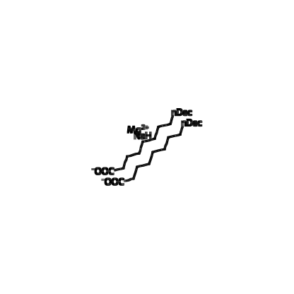 CCCCCCCCCCCCCCCCCC(=O)[O-].CCCCCCCCCCCCCCCCCC(=O)[O-].[Mg+2].[NaH]